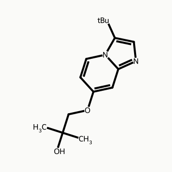 CC(C)(O)COc1ccn2c(C(C)(C)C)cnc2c1